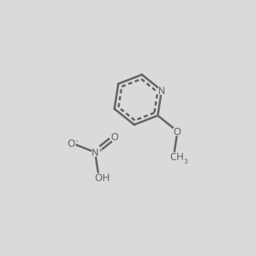 COc1ccccn1.O=[N+]([O-])O